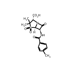 Cc1ccc(C(=O)N[C@@H]2C(=O)N3[C@@H](C(=O)O)C(C)(C)S(=O)(=O)[C@H]23)cc1